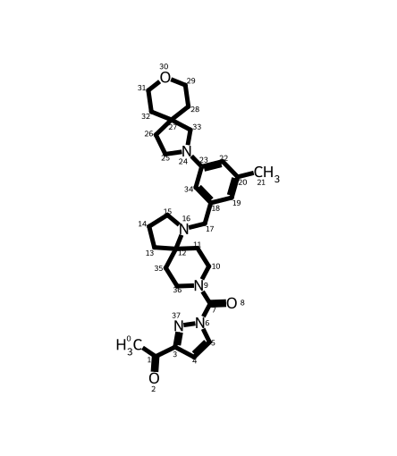 CC(=O)c1ccn(C(=O)N2CCC3(CCCN3Cc3cc(C)cc(N4CCC5(CCOCC5)C4)c3)CC2)n1